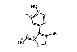 CCCCC1=C(c2ccc(O)c(F)c2)C(=NO)CC1